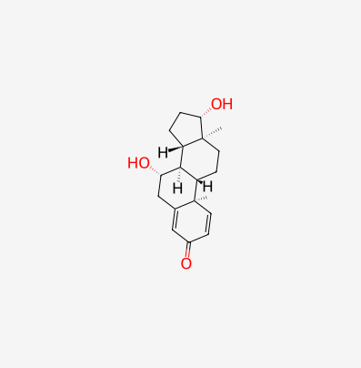 C[C@]12CC[C@H]3[C@@H]([C@@H](O)CC4=CC(=O)C=C[C@@]43C)[C@@H]1CC[C@@H]2O